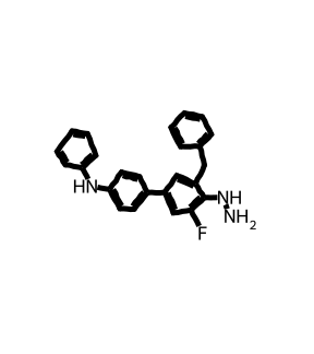 NNc1c(F)cc(-c2ccc(Nc3ccccc3)cc2)cc1Cc1ccccc1